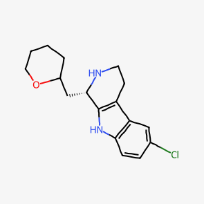 Clc1ccc2[nH]c3c(c2c1)CCN[C@H]3CC1CCCCO1